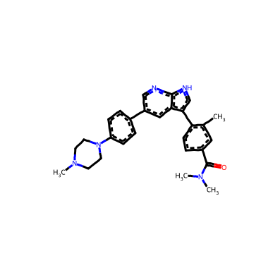 Cc1cc(C(=O)N(C)C)ccc1-c1c[nH]c2ncc(-c3ccc(N4CCN(C)CC4)cc3)cc12